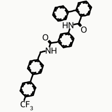 O=C(NCc1ccc(-c2ccc(C(F)(F)F)cc2)cc1)c1cccc(NC(=O)c2ccccc2-c2ccccc2)c1